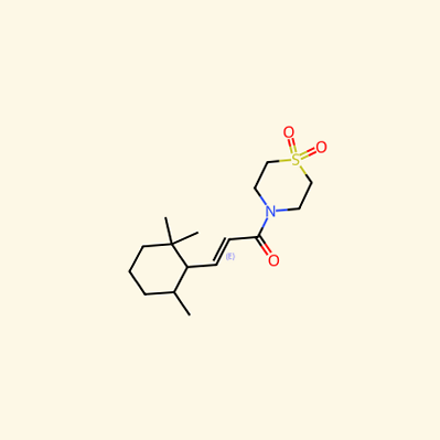 CC1CCCC(C)(C)C1/C=C/C(=O)N1CCS(=O)(=O)CC1